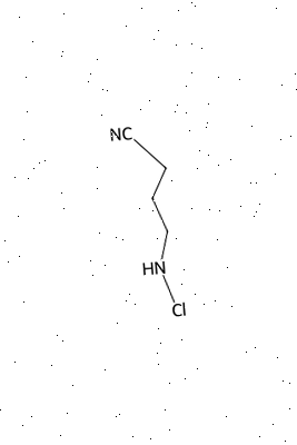 N#CCCCNCl